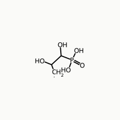 [CH2]C(O)C(O)P(=O)(O)O